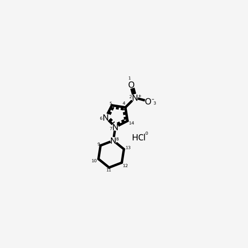 Cl.O=[N+]([O-])c1cnn(N2CCCCC2)c1